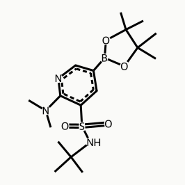 CN(C)c1ncc(B2OC(C)(C)C(C)(C)O2)cc1S(=O)(=O)NC(C)(C)C